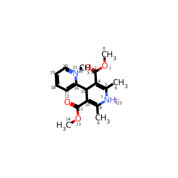 COC(=O)C1=C(C)NC(C)=C(C(=O)OC)C1c1cccc[n+]1C.[I-]